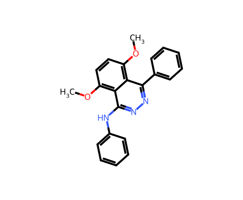 COc1ccc(OC)c2c(-c3ccccc3)nnc(Nc3ccccc3)c12